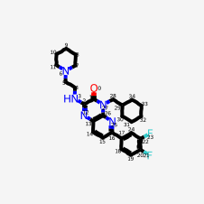 O=c1c(NCCN2CCCCC2)nc2ccc(-c3ccc(F)c(F)c3)nc2n1CC1CCCCC1